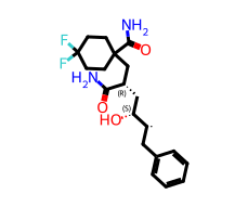 NC(=O)[C@@H](C[C@@H](O)[CH]Cc1ccccc1)CC1(C(N)=O)CCC(F)(F)CC1